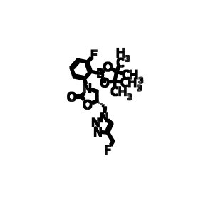 CC1(C)OB(c2c(F)cccc2N2C[C@H](Cn3cc(CF)nn3)OC2=O)OC1(C)C